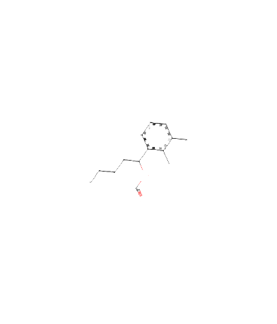 CCCCC(O[C]=O)c1cccc(C)c1C